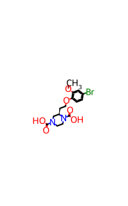 COc1cc(Br)ccc1OCC[C@@H]1CN(C(=O)O)CCN1C(=O)O